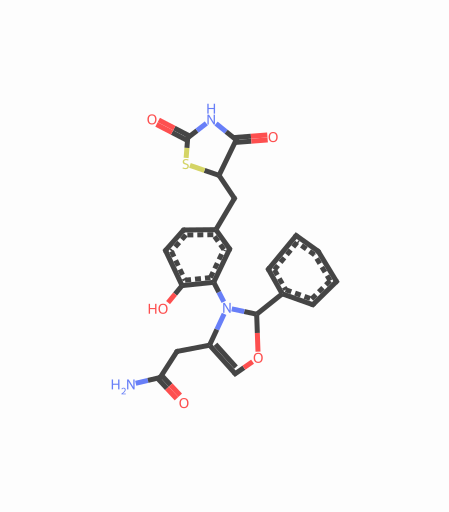 NC(=O)CC1=COC(c2ccccc2)N1c1cc(CC2SC(=O)NC2=O)ccc1O